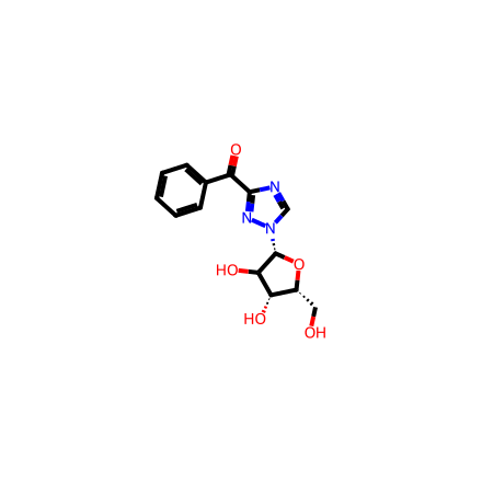 O=C(c1ccccc1)c1ncn([C@@H]2O[C@H](CO)[C@H](O)C2O)n1